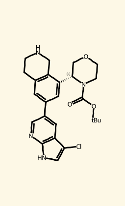 CC(C)(C)OC(=O)N1CCOC[C@H]1c1cc(-c2cnc3[nH]cc(Cl)c3c2)cc2c1CNCC2